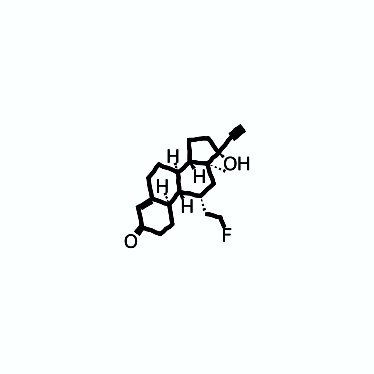 C#C[C@]1(O)CC[C@H]2[C@@H]3CCC4=CC(=O)CC[C@@H]4[C@H]3[C@@H](CCF)C[C@@]21C